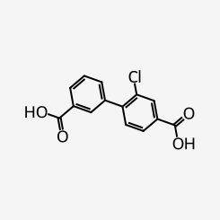 O=C(O)c1cccc(-c2ccc(C(=O)O)cc2Cl)c1